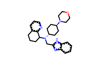 c1cnc2c(c1)CCCC2N(Cc1nc2ccccc2[nH]1)[C@H]1CC[C@H](N2CCOCC2)CC1